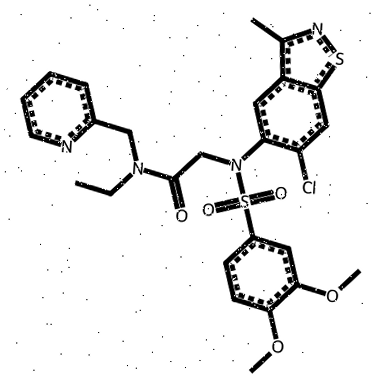 CCN(Cc1ccccn1)C(=O)CN(c1cc2c(C)nsc2cc1Cl)S(=O)(=O)c1ccc(OC)c(OC)c1